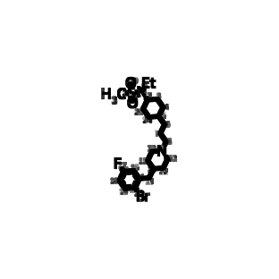 CCN(C1CCC(CCCN2CCC(Cc3cc(F)ccc3Br)CC2)CC1)S(C)(=O)=O